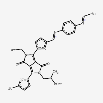 CCCCCCCCC(C)CN1C(=O)C2=C(c3ccc(/C=N/c4ccc(/N=C/C(C)(C)C)cc4)s3)N(CC(C)C)C(=O)C2=C1c1ccc(C(C)(C)C)s1